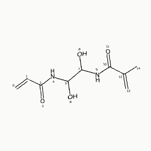 C=CC(=O)NC(O)C(O)NC(=O)C(=C)C